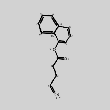 C=CCCC(=O)Oc1cccc2ccccc12